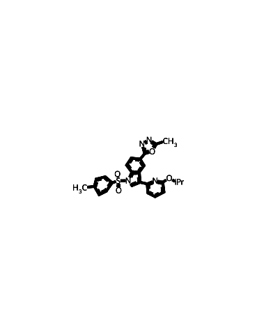 Cc1ccc(S(=O)(=O)n2cc(-c3cccc(OC(C)C)n3)c3cc(-c4nnc(C)o4)ccc32)cc1